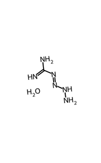 N=C(N)N=NNN.O